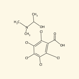 CC(O)N(C)C.O=C(O)c1c(Cl)c(Cl)c(Cl)c(Cl)c1Cl